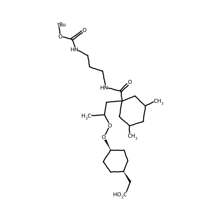 CC1CC(C)CC(CC(C)OO[C@H]2CC[C@@H](CC(=O)O)CC2)(C(=O)NCCCNC(=O)OC(C)(C)C)C1